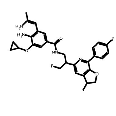 C/C(N)=C/c1cc(C(=O)NCC(CF)c2cc3c(c(-c4ccc(F)cc4)n2)OCC3C)cc(OC2CC2)c1N